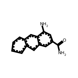 NC(=O)c1cc(N)c2cc3ccccc3cc2c1